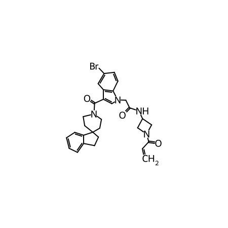 C=CC(=O)N1CC(NC(=O)Cn2cc(C(=O)N3CCC4(CCc5ccccc54)CC3)c3cc(Br)ccc32)C1